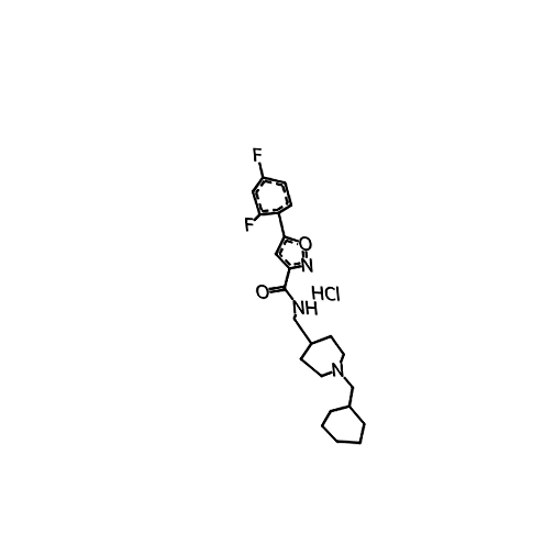 Cl.O=C(NCC1CCN(CC2CCCCC2)CC1)c1cc(-c2ccc(F)cc2F)on1